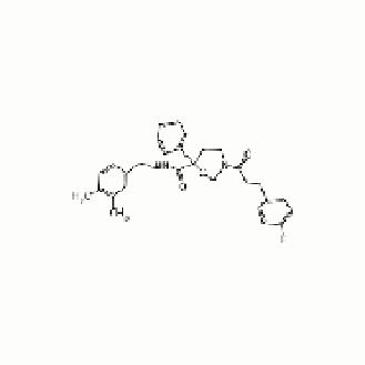 Cc1ccc(CCNC(=O)C2(c3ccccc3)CCN(C(=O)CCc3ccc(F)cc3)CC2)cc1C